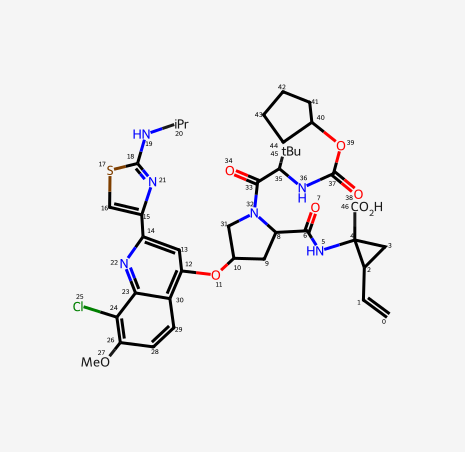 C=CC1CC1(NC(=O)C1CC(Oc2cc(-c3csc(NC(C)C)n3)nc3c(Cl)c(OC)ccc23)CN1C(=O)C(NC(=O)OC1CCCC1)C(C)(C)C)C(=O)O